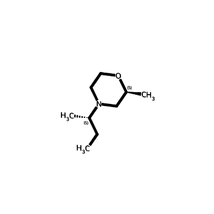 CC[C@H](C)N1CCO[C@@H](C)C1